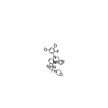 COc1cc(OC)c(F)c(N(Cc2ncc[nH]2)c2ccc3c(n2)NC(C)(N2CCOCC2)C=N3)c1